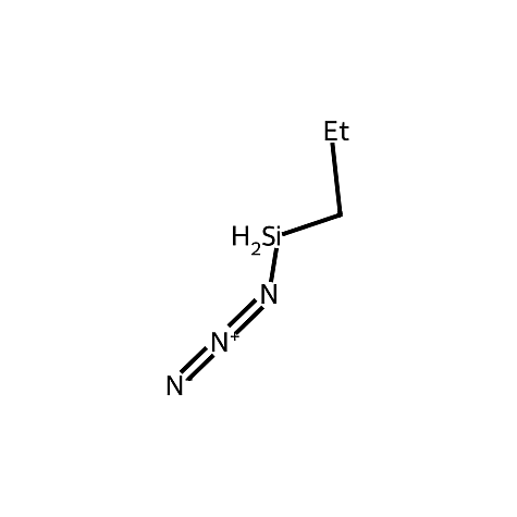 CCC[SiH2]N=[N+]=[N-]